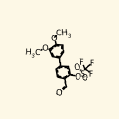 COc1ccc(-c2ccc(C=O)c(OS(=O)(=O)C(F)(F)F)c2)cc1OC